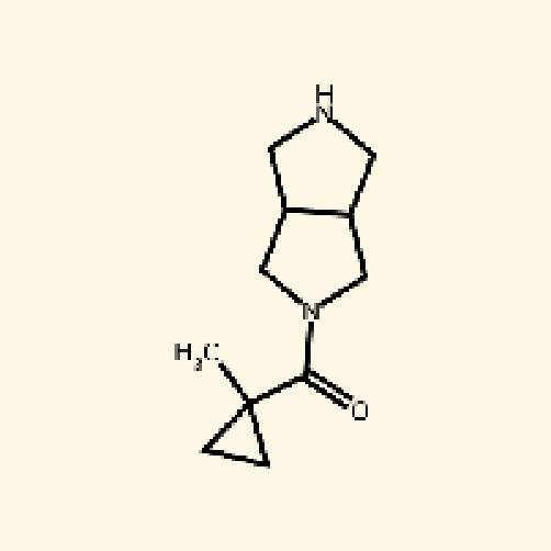 CC1(C(=O)N2CC3CNCC3C2)CC1